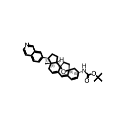 CC(C)(C)OC(=O)N[C@@H]1C=CC2=CC3=CC[C@]4(C)[C@@H](c5ccc6ccncc6c5)CC[C@H]4[C@@]34CC[C@]2(C1)O4